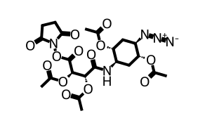 CC(=O)O[C@@H]1C[C@@H](NC(=O)[C@H](OC(C)=O)[C@@H](OC(C)=O)C(=O)ON2C(=O)CCC2=O)[C@H](OC(C)=O)C[C@H]1N=[N+]=[N-]